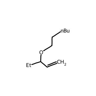 C=CC(CC)OCCCCCC